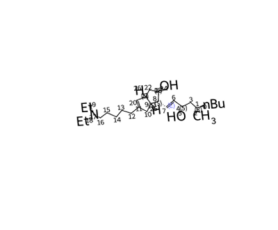 CCCC[C@@H](C)C[C@H](O)/C=C/[C@@H]1[C@H]2CC(CCCCCN(CC)CC)=C[C@H]2C[C@H]1O